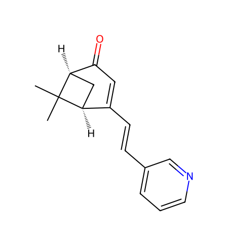 CC1(C)[C@@H]2C[C@H]1C(C=Cc1cccnc1)=CC2=O